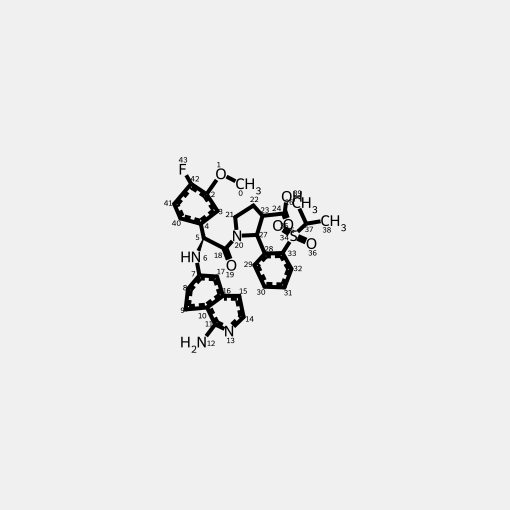 COc1cc([C@H](Nc2ccc3c(N)nccc3c2)C(=O)N2CCC(C(=O)O)C2c2ccccc2S(=O)(=O)C(C)C)ccc1F